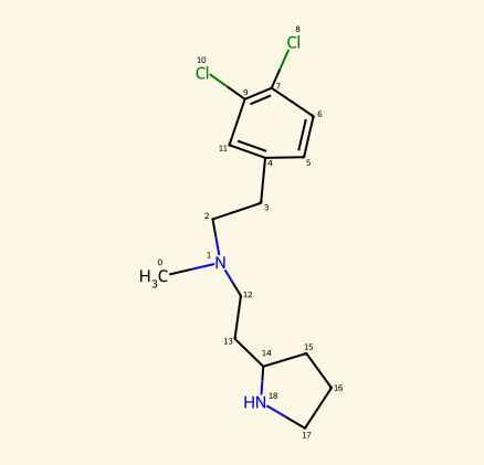 CN(CCc1ccc(Cl)c(Cl)c1)CCC1CCCN1